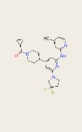 N#Cc1ccnc(Nc2cc(C3CCN(C(=O)C4CC4)CC3)cc(N3CCC(F)(F)C3)n2)c1